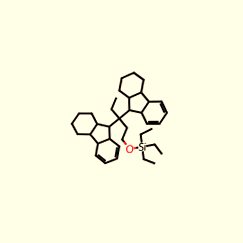 CCC(CCO[Si](CC)(CC)CC)(C1C2C=CC=CC2C2CCCCC21)C1C2C=CC=CC2C2CCCCC21